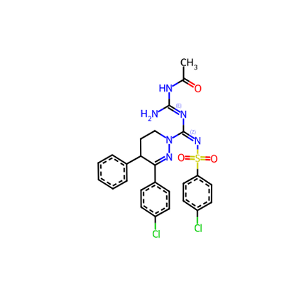 CC(=O)N/C(N)=N/C(=N/S(=O)(=O)c1ccc(Cl)cc1)N1CCC(c2ccccc2)C(c2ccc(Cl)cc2)=N1